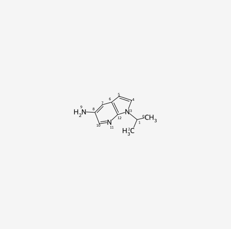 CC(C)n1ccc2cc(N)cnc21